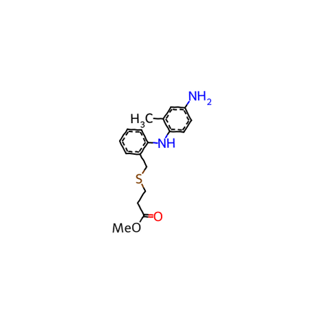 COC(=O)CCSCc1ccccc1Nc1ccc(N)cc1C